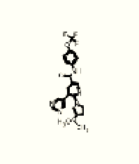 CN(C)C1CCN(c2ncc(C(=O)Nc3ccc(OC(F)(F)F)cc3)cc2-c2cncnc2)C1